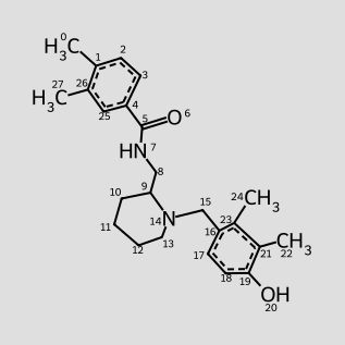 Cc1ccc(C(=O)NCC2CCCCN2Cc2ccc(O)c(C)c2C)cc1C